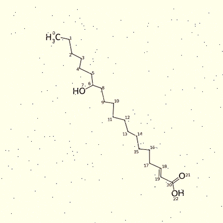 CCCCCCC(O)CCCCCCCCCCC=CC(=O)O